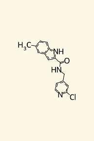 Cc1ccc2[nH]c(C(=O)NCc3ccnc(Cl)c3)cc2c1